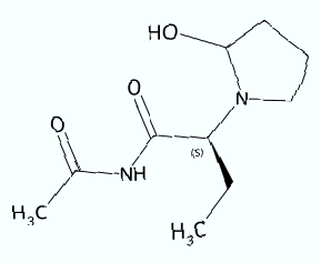 CC[C@@H](C(=O)NC(C)=O)N1CCCC1O